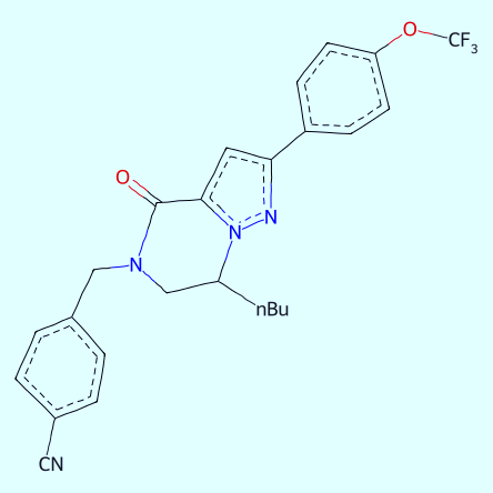 CCCCC1CN(Cc2ccc(C#N)cc2)C(=O)c2cc(-c3ccc(OC(F)(F)F)cc3)nn21